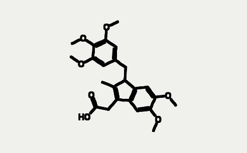 COc1cc2c(cc1OC)C(Cc1cc(OC)c(OC)c(OC)c1)C(C)=C2CC(=O)O